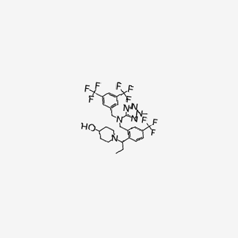 CCC(c1ccc(C(F)(F)F)cc1CN(Cc1cc(C(F)(F)F)cc(C(F)(F)F)c1)c1nnn(C)n1)N1CCC(O)CC1